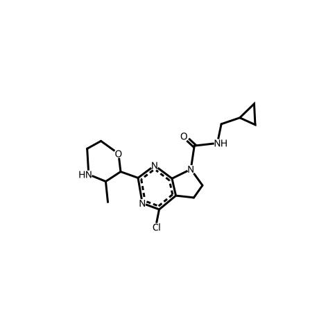 CC1NCCOC1c1nc(Cl)c2c(n1)N(C(=O)NCC1CC1)CC2